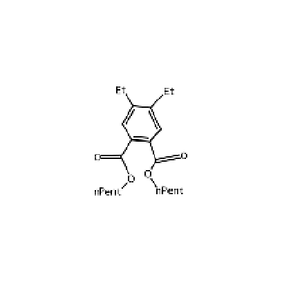 CCCCCOC(=O)c1cc(CC)c(CC)cc1C(=O)OCCCCC